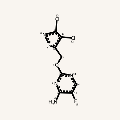 Nc1nc(OCc2snc(Cl)c2Cl)ncc1F